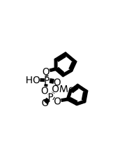 COP(=O)(Oc1ccccc1)OP(=O)(O)Oc1ccccc1